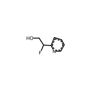 OCC(F)c1ccccn1